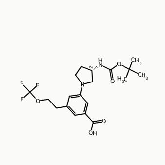 CC(C)(C)OC(=O)N[C@H]1CCN(c2cc(CCOC(F)(F)F)cc(C(=O)O)c2)C1